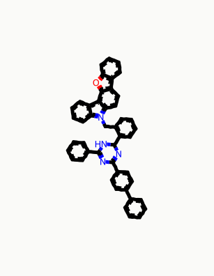 c1ccc(C2=NC(c3ccc(-c4ccccc4)cc3)=NC(c3ccccc3Cn3c4ccccc4c4c5oc6ccccc6c5ccc43)N2)cc1